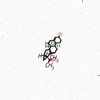 CC(=O)[C@@]12C[C@@H]1C[C@H]1[C@@H]3CCC4=CC(=O)CC[C@]4(C)[C@H]3CC[C@@]12C